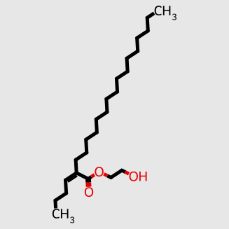 CCCC=C(CCCCCCCCCCCCCCCC)C(=O)OCCO